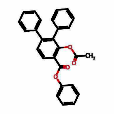 CC(=O)Oc1c(C(=O)Oc2ccccc2)ccc(-c2ccccc2)c1-c1ccccc1